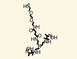 CNCCOCCOCCNC(=O)CCC(=O)NCCN(CCNC(C)(C)/C(C)=N\O)CCNC(C)(C)/C(C)=N\O